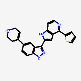 C1=C(c2ccc3[nH]nc(-c4cc5c(-c6cccs6)nccc5[nH]4)c3c2)CCNC1